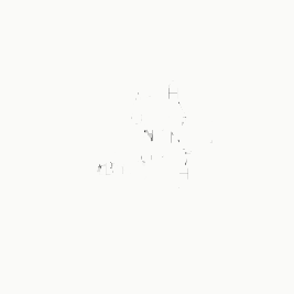 CC(=O)[C@@H]1[C@@H]2CC[C@H](CN1Cc1ccccc1)N2C(=O)OC(C)(C)C